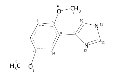 COc1ccc(OC)c(C2=C[N]C=N2)c1